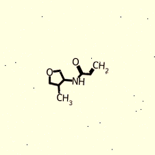 C=CC(=O)NC1COCC1C